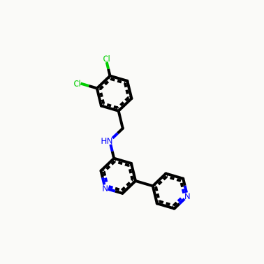 Clc1ccc(CNc2cncc(-c3ccncc3)c2)cc1Cl